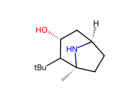 CC(C)(C)C1[C@H](O)C[C@H]2CC[C@]1(C)N2